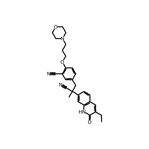 CCc1cc2ccc(C(C)(C#N)Cc3ccc(OCCCN4CCOCC4)c(C#N)c3)cc2[nH]c1=O